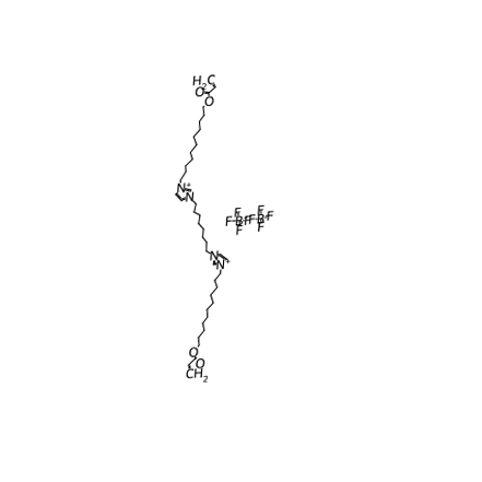 C=CC(=O)OCCCCCCCCCCC[n+]1ccn(CCCCCCCCn2cc[n+](CCCCCCCCCCCOC(=O)C=C)c2)c1.F[B-](F)(F)F.F[B-](F)(F)F